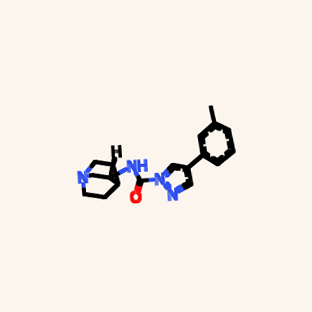 Cc1cccc(-c2cnn(C(=O)N[C@H]3CN4CCC3CC4)c2)c1